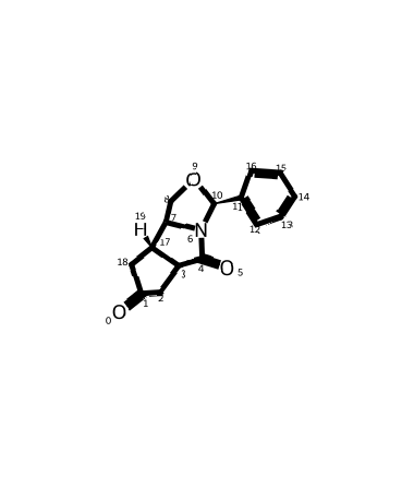 O=C1CC2C(=O)N3C(CO[C@H]3c3ccccc3)[C@H]2C1